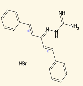 Br.N=C(N)NN=C(/C=C/c1ccccc1)/C=C/c1ccccc1